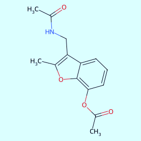 CC(=O)NCc1c(C)oc2c(OC(C)=O)cccc12